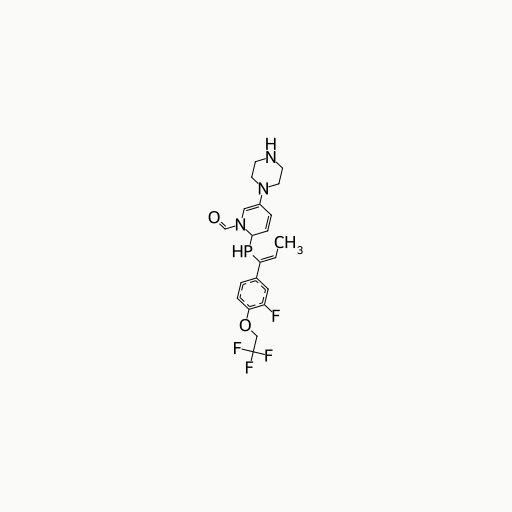 C/C=C(\PC1C=CC(N2CCNCC2)=CN1C=O)c1ccc(OCC(F)(F)F)c(F)c1